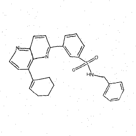 O=S(=O)(NCc1ccccc1)c1cccc(-c2ccc3nccc(C4=CCCCC4)c3n2)c1